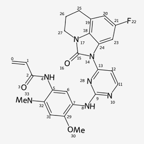 C=CC(=O)Nc1cc(Nc2nccc(-n3c(=O)n4c5c(cc(F)cc53)CCC4)n2)c(OC)cc1NC